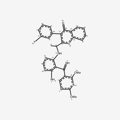 COc1ncc(C(=N)c2c(N)ncnc2NC(C)c2oc3ccccc3c(=O)c2-c2cccc(F)c2)c(OC)n1